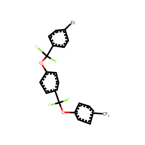 CCc1ccc(C(F)(F)Oc2ccc(C(F)(F)Oc3ccc(C(F)(F)F)cc3)cc2)cc1